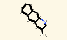 Cc1cnc2cc3ccccc3cc2c1